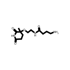 CC1(OCCNC(=O)CCCN)CCC(=O)NC1=O